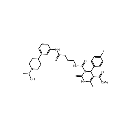 COC(=O)C1=C(C)NC(=O)N(C(=O)NCCCC(=O)Nc2cccc(C3CCN(B(C)O)CC3)c2)C1c1ccc(F)cc1